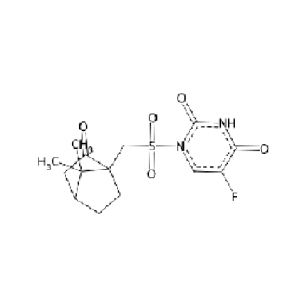 CC1(C)C2CCC1(CS(=O)(=O)n1cc(F)c(=O)[nH]c1=O)C(=O)C2